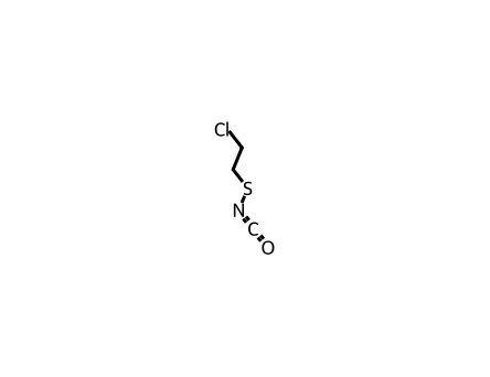 O=C=NSCCCl